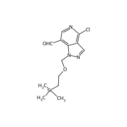 C[Si](C)(C)CCOCn1ncc2c(Cl)ncc(C=O)c21